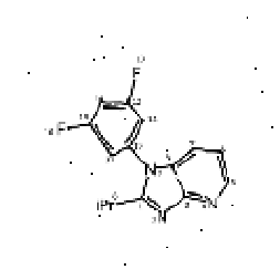 CC(C)c1nc2ncccc2n1-c1cc(F)cc(F)c1